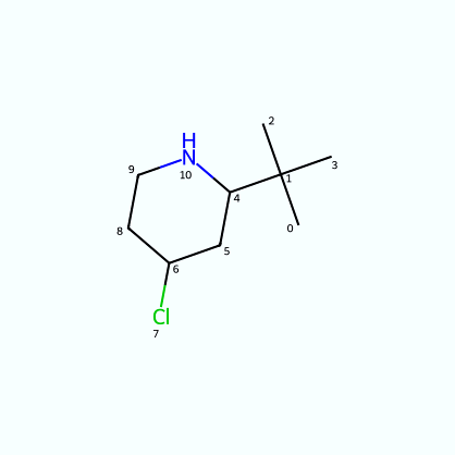 CC(C)(C)C1CC(Cl)CCN1